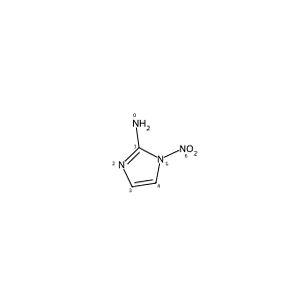 Nc1nccn1[N+](=O)[O-]